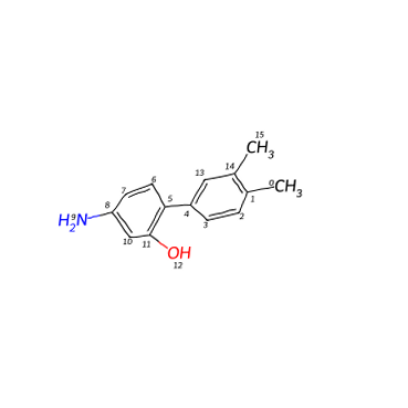 Cc1ccc(-c2ccc(N)cc2O)cc1C